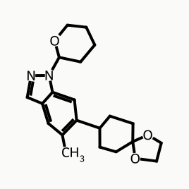 Cc1cc2cnn(C3CCCCO3)c2cc1C1CCC2(CC1)OCCO2